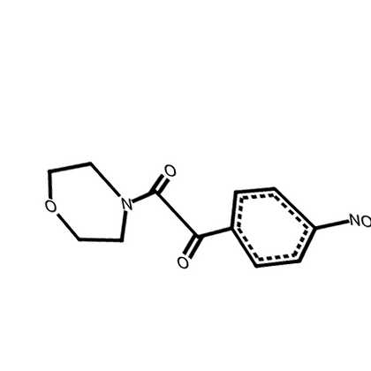 O=C(C(=O)N1CCOCC1)c1ccc([N+](=O)[O-])cc1